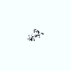 [Co].[Fe].[Nb].[Sr]